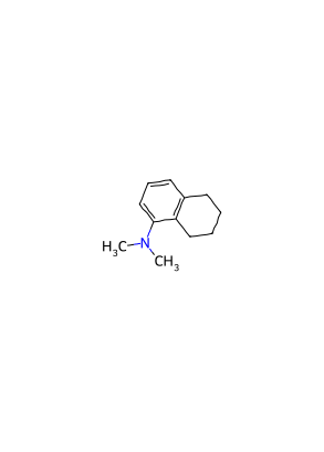 CN(C)c1cccc2c1CCCC2